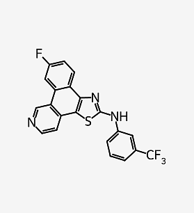 Fc1ccc2c(c1)c1cnccc1c1sc(Nc3cccc(C(F)(F)F)c3)nc21